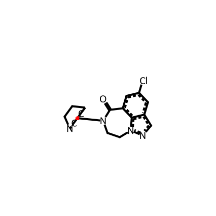 O=C1c2cc(Cl)cc3cnn(c23)CCN1C1CN2CCC1CC2